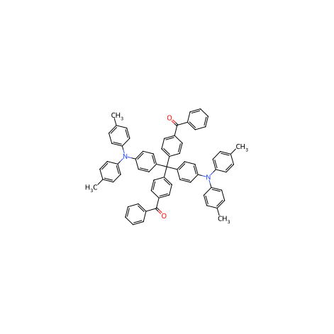 Cc1ccc(N(c2ccc(C)cc2)c2ccc(C(c3ccc(C(=O)c4ccccc4)cc3)(c3ccc(C(=O)c4ccccc4)cc3)c3ccc(N(c4ccc(C)cc4)c4ccc(C)cc4)cc3)cc2)cc1